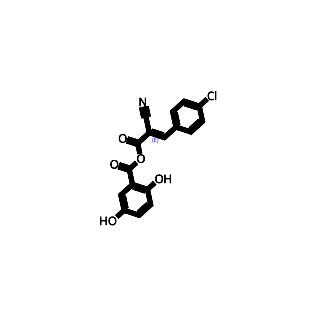 N#C/C(=C\c1ccc(Cl)cc1)C(=O)OC(=O)c1cc(O)ccc1O